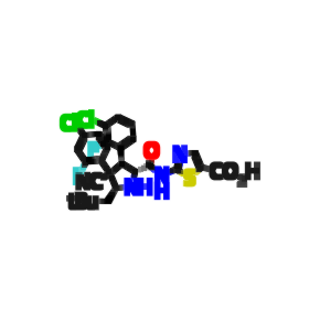 CC(C)(C)C[C@@H]1N[C@@H](C(=O)Nc2ncc(C(=O)O)s2)[C@H](c2cccc(Cl)c2F)[C@@]1(C#N)c1ccc(Cl)cc1F